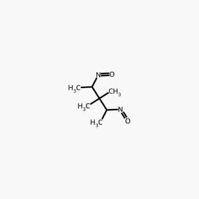 CC(N=O)C(C)(C)C(C)N=O